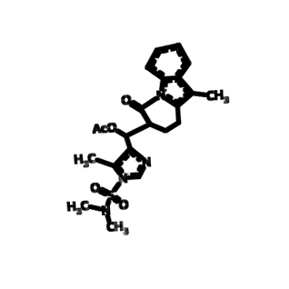 CC(=O)OC(c1ncn(S(=O)(=O)N(C)C)c1C)C1CCc2c(C)c3ccccc3n2C1=O